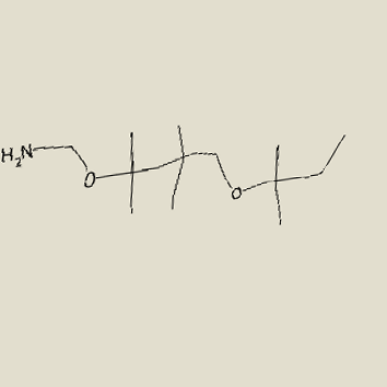 CCC(C)(C)OCC(C)(C)C(C)(C)OCN